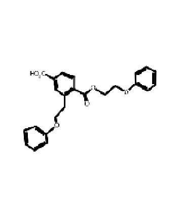 O=C(O)c1ccc(C(=O)OCCOc2ccccc2)c(CCOc2ccccc2)c1